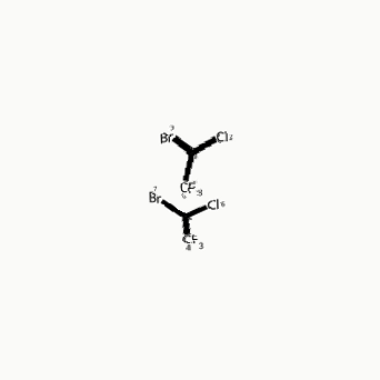 FC(F)(F)C(Cl)Br.FC(F)(F)C(Cl)Br